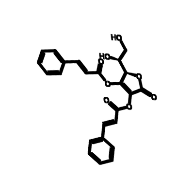 O=C(C=Cc1ccccc1)OC1=C(OC(=O)C=Cc2ccccc2)[C@@H]([C@@H](O)CO)OC1=O